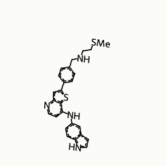 CSCCNCc1ccc(-c2cc3nccc(Nc4ccc5[nH]ccc5c4)c3s2)cc1